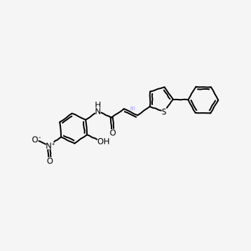 O=C(/C=C/c1ccc(-c2ccccc2)s1)Nc1ccc([N+](=O)[O-])cc1O